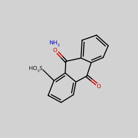 N.O=C1c2ccccc2C(=O)c2c1cccc2S(=O)(=O)O